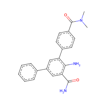 CN(C)C(=O)c1ccc(-c2cc(-c3ccccc3)cc(C(N)=O)c2N)cc1